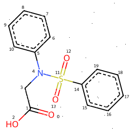 O=C(O)CN(c1ccccc1)S(=O)(=O)c1ccccc1